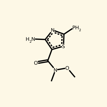 CON(C)C(=O)c1sc(P)nc1N